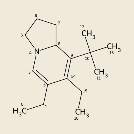 CCC1=CN2CCCC2C(C(C)(C)C)=C1CC